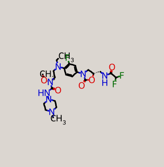 CCN(CCN(OC)C(=O)NN1CCN(C)CC1)c1ccc(N2C[C@H](CNC(=O)C(F)F)OC2=O)cc1F